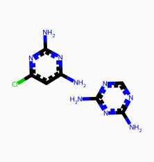 Nc1cc(Cl)nc(N)n1.Nc1ncnc(N)n1